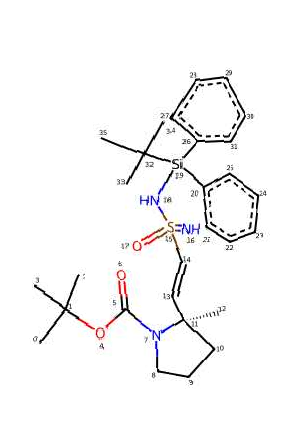 CC(C)(C)OC(=O)N1CCC[C@]1(C)/C=C/S(=N)(=O)N[Si](c1ccccc1)(c1ccccc1)C(C)(C)C